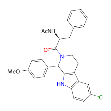 COc1ccc([C@H]2c3[nH]c4ccc(Cl)cc4c3CCN2C(=O)[C@H](Cc2ccccc2)NC(C)=O)cc1